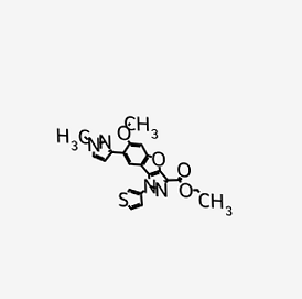 CCOC(=O)c1nn(-c2ccsc2)c2c1oc1cc(OC)c(-c3ccn(C)n3)cc12